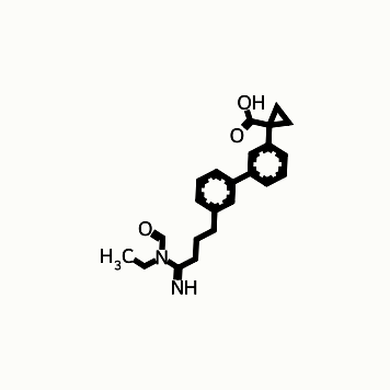 CCN(C=O)C(=N)CCCc1cccc(-c2cccc(C3(C(=O)O)CC3)c2)c1